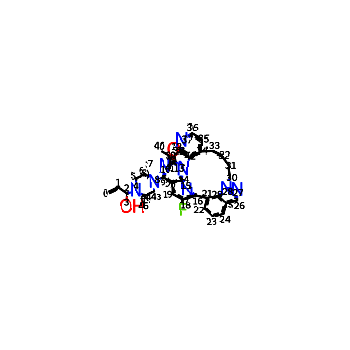 C=CC(O)N1C[C@H](C)N(c2nc(=O)n3c4nc(c(F)cc24)-c2cccc4cnn(c24)CCCCc2ccnc(C(C)C)c2-3)C[C@H]1C